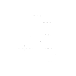 CC(C)(C)OC(=O)N(c1ccnc2ncccc12)C1CCNCC1